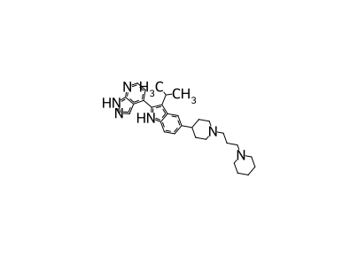 CC(C)c1c(-c2ccnc3[nH]ncc23)[nH]c2ccc(C3CCN(CCCN4CCCCC4)CC3)cc12